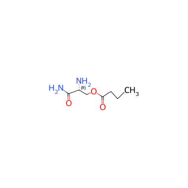 CCCC(=O)OC[C@@H](N)C(N)=O